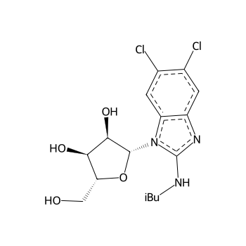 CCC(C)Nc1nc2cc(Cl)c(Cl)cc2n1[C@@H]1O[C@H](CO)[C@@H](O)[C@H]1O